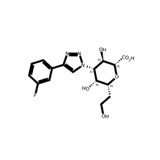 O=C(O)[C@@H]1O[C@H](CCO)[C@H](O)[C@H](n2cc(-c3cccc(F)c3)nn2)[C@H]1O